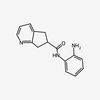 Nc1ccccc1NC(=O)C1Cc2cccnc2C1